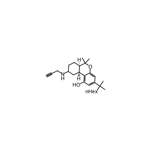 C#CCNC1CC[C@@H]2[C@@H](C1)c1c(O)cc(C(C)(C)CCCCCC)cc1OC2(C)C